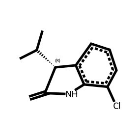 C=C1Nc2c(Cl)cccc2[C@H]1C(C)C